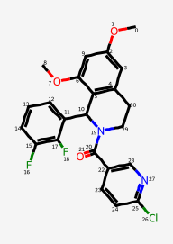 COc1cc2c(c(OC)c1)C(c1cccc(F)c1F)N(C(=O)c1ccc(Cl)nc1)CC2